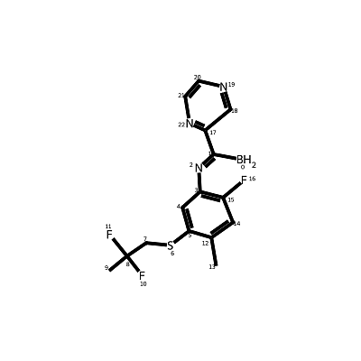 B/C(=N\c1cc(SCC(C)(F)F)c(C)cc1F)c1cnccn1